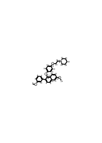 COc1cccc(-c2ccc3cc(OC)ccc3c2Oc2ccc(OCCN3CCCCC3)cc2)c1